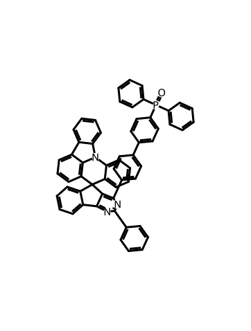 O=P(c1ccccc1)(c1ccccc1)c1ccc(-c2ccc(-c3nc(-c4ccccc4)nc4c3C3(c5ccccc5-4)c4ccccc4-n4c5ccccc5c5cccc3c54)cc2)cc1